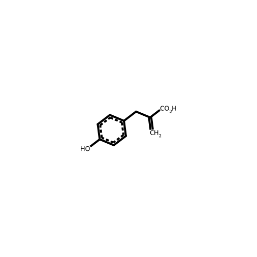 C=C(Cc1ccc(O)cc1)C(=O)O